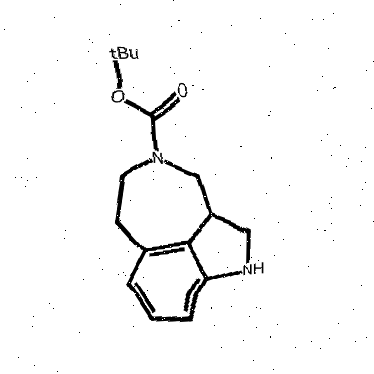 CC(C)(C)OC(=O)N1CCc2cccc3c2C(CN3)C1